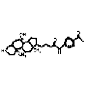 CC12CCC3C(C1CCC2CCCC(=O)Nc1ccc(C(=O)O)cc1)[C@@H](O)CC1CNCCC13C